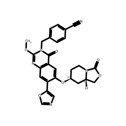 COc1nc2cc(-c3cnco3)c(O[C@H]3CCN4C(=O)OC[C@@H]4C3)cc2c(=O)n1Cc1ccc(C#N)cc1